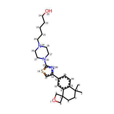 CC1(C)CCC2(COC2)c2cc(-c3csc(N4CCN(CCCCCO)CC4)n3)ccc21